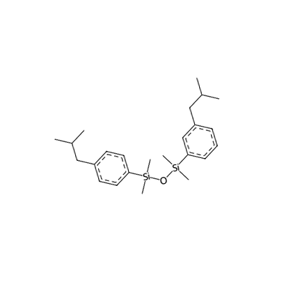 CC(C)Cc1ccc([Si](C)(C)O[Si](C)(C)c2cccc(CC(C)C)c2)cc1